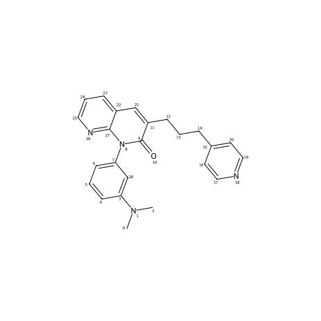 CN(C)c1cccc(-n2c(=O)c(CCCc3ccncc3)cc3cccnc32)c1